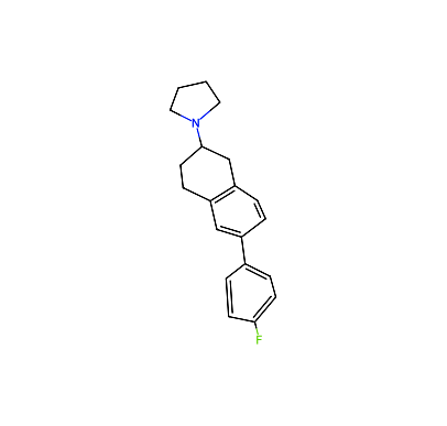 Fc1ccc(-c2ccc3c(c2)CCC(N2CCCC2)C3)cc1